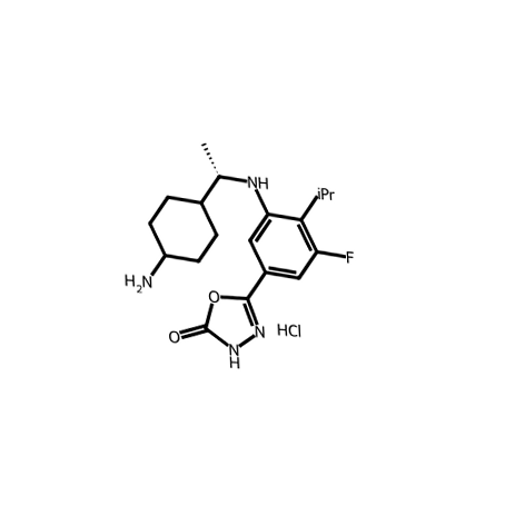 CC(C)c1c(F)cc(-c2n[nH]c(=O)o2)cc1N[C@@H](C)C1CCC(N)CC1.Cl